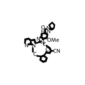 COc1cc(C(=O)N2CC3CCC2C3N)cc2nc3n(c12)Cc1cc(C#N)cc(c1)-c1ccccc1CCCCn1c-3cc2cccnc21